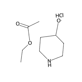 CCOC(C)=O.Cl.[O]C1CCNCC1